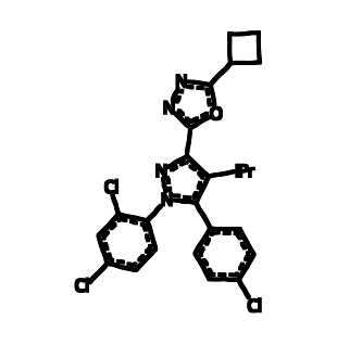 CC(C)c1c(-c2nnc(C3CCC3)o2)nn(-c2ccc(Cl)cc2Cl)c1-c1ccc(Cl)cc1